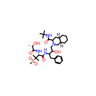 C[C@H](O)C(=O)N[C@H](C(=O)NC(Cc1ccccc1)C(O)CN1C[C@H]2CCCC[C@H]2CC1C(=O)NC(C)(C)C)C(C)(C)S(C)(=O)=O